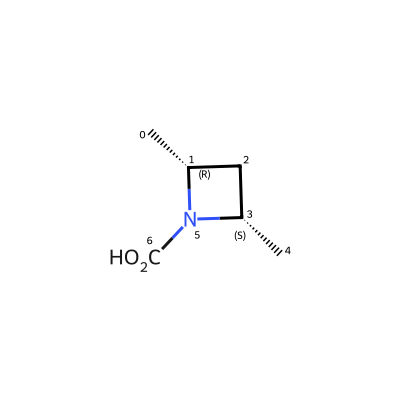 C[C@@H]1C[C@H](C)N1C(=O)O